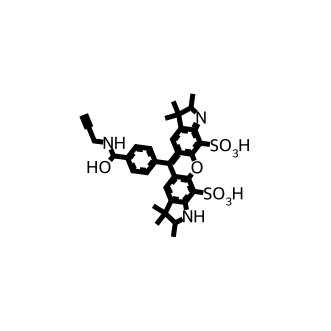 C#CCNC(O)c1ccc(C2=c3cc4c(c(S(=O)(=O)O)c3Oc3c2cc2c(c3S(=O)(=O)O)NC(C)C2(C)C)=NC(C)C4(C)C)cc1